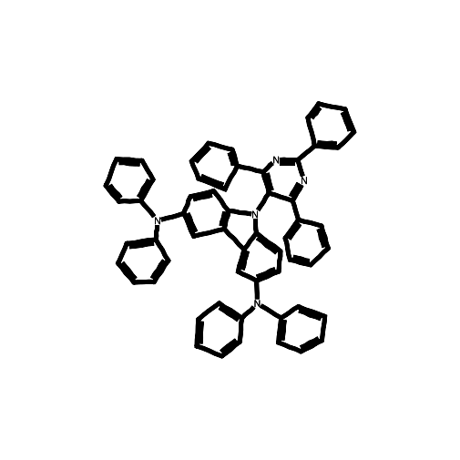 c1ccc(-c2nc(-c3ccccc3)c(-n3c4ccc(N(c5ccccc5)c5ccccc5)cc4c4cc(N(c5ccccc5)c5ccccc5)ccc43)c(-c3ccccc3)n2)cc1